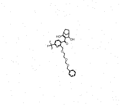 O=C(C1=C(O)C2CCC(C2)C1O)c1ccc(C(F)(F)F)nc1COCCOCOCc1ccccc1